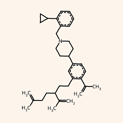 C=C(C)CCC(CCc1cc(C2CCN(Cc3ccccc3C3CC3)CC2)ccc1C(=C)C)C(=C)C